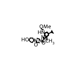 COCCNc1cc(C2CC2)cc2c1nc(C(=O)N1CCN(C3CCC(O)CC3)C(=O)C1)n2C